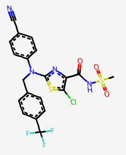 CS(=O)(=O)NC(=O)c1nc(N(Cc2ccc(C(F)(F)F)cc2)c2ccc(C#N)cc2)sc1Cl